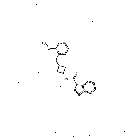 O=C(N[C@H]1C[C@H](Oc2ccccc2OC(F)(F)F)C1)c1cnn2ccccc12